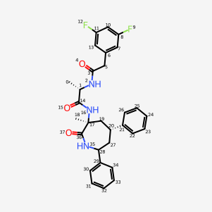 C[C@H](NC(=O)Cc1cc(F)cc(F)c1)C(=O)N[C@@]1(C)C[C@H](c2ccccc2)CC(c2ccccc2)NC1=O